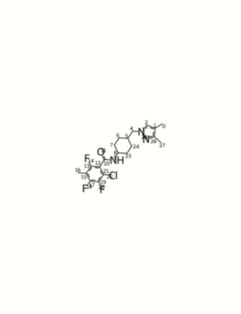 Cc1cn(CC2CCC(NC(=O)c3c(F)c(C)c(F)c(F)c3Cl)CC2)nc1C